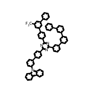 FC(F)(F)c1cc(-c2ccccc2)cc(-c2ccc(-c3nc(-c4ccc(-c5cccc(-n6c7ccccc7c7ccccc76)c5)cc4)nc(-c4cccc(-c5cccc(-c6cccc(-c7ccccc7)c6)c5)c4)n3)cc2)c1